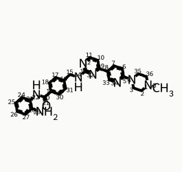 CN1CCN(c2ccc(-c3ccnc(NCc4ccc(C(=O)Nc5ccccc5N)cc4)n3)cn2)CC1